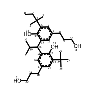 CCC(C)(C)c1cc(CCCO)cc(C(c2cc(CCCO)cc(C(C)(C)C)c2O)C(C)C)c1O